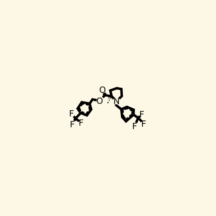 C[C@]1(C(=O)OCc2ccc(C(F)(F)F)cc2)CCCCN1Cc1ccc(C(F)(F)F)cc1